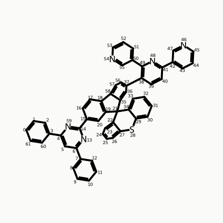 c1ccc(-c2cc(-c3ccccc3)nc(-c3ccc4c(c3)C3(c5ccccc5Sc5ccccc53)c3cc(-c5ccc(-c6cccnc6)nc5-c5cccnc5)ccc3-4)n2)cc1